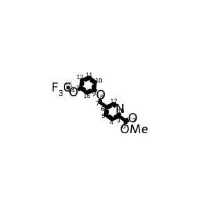 COC(=O)c1ccc(COc2cccc(OC(F)(F)F)c2)cn1